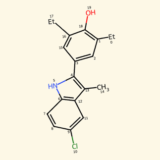 CCc1cc(-c2[nH]c3ccc(Cl)cc3c2C)cc(CC)c1O